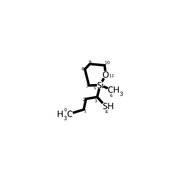 CCCC(S)[Si]1(C)CCCCO1